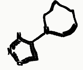 C1=CN(c2conn2)CCC1